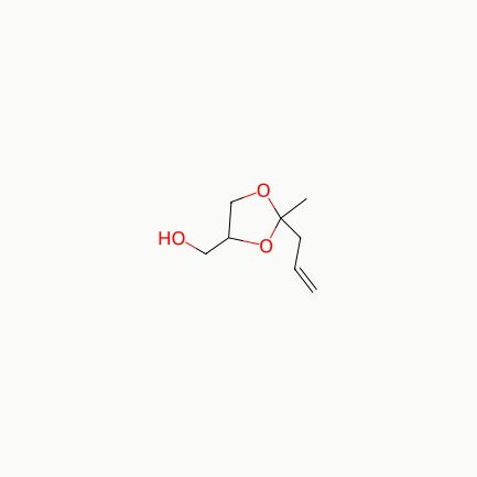 C=CCC1(C)OCC(CO)O1